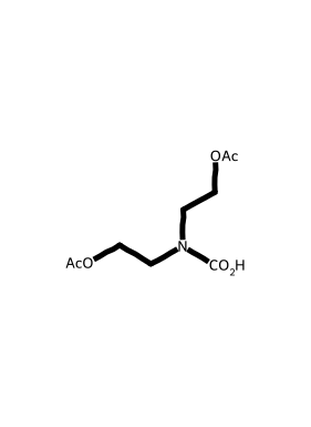 CC(=O)OCCN(CCOC(C)=O)C(=O)O